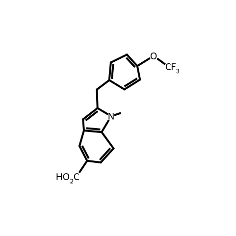 Cn1c(Cc2ccc(OC(F)(F)F)cc2)cc2cc(C(=O)O)ccc21